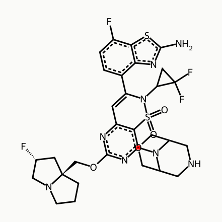 Nc1nc2c(C3=Cc4nc(OC[C@@]56CCCN5C[C@H](F)C6)nc(N5C6CNCC5COC6)c4S(=O)(=O)N3C3CC3(F)F)ccc(F)c2s1